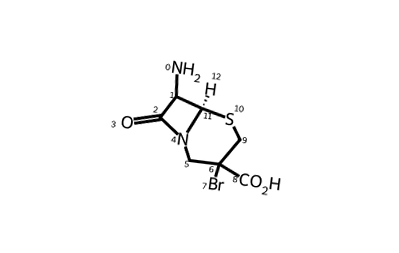 NC1C(=O)N2CC(Br)(C(=O)O)CS[C@H]12